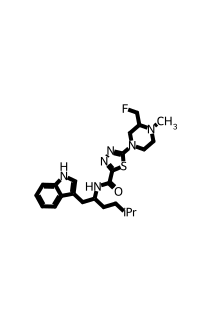 CC(C)CCC(Cc1c[nH]c2ccccc12)NC(=O)c1nnc(N2CCN(C)C(CF)C2)s1